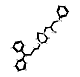 OC(CNc1ccccc1)CN1CCN(CCCC(c2ccccc2)c2ccccc2)CC1